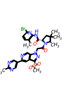 Cc1ncc(-c2cc3c(S(C)(=O)=O)nn(CC(=O)N4[C@H](C(=O)Nc5nc(Br)ccc5C)CC(C)(C)[C@H]4C)c3cn2)cn1